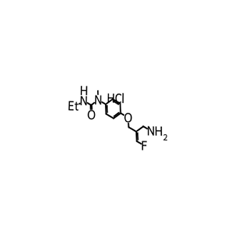 CCNC(=O)N(C)c1ccc(OCC(=CF)CN)cc1.Cl